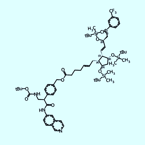 CC(C)(C)OC(=O)NCC(C(=O)Nc1ccc2cnccc2c1)c1ccc(COC(=O)CCCC=CC[C@@H]2[C@H](C=C[C@H](COc3cccc(C(F)(F)F)c3)O[Si](C)(C)C(C)(C)C)[C@H](O[Si](C)(C)C(C)(C)C)C[C@H]2O[Si](C)(C)C(C)(C)C)cc1